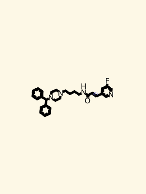 O=C(/C=C/c1cncc(F)c1)NCCCCN1CCN(C(c2ccccc2)c2ccccc2)CC1